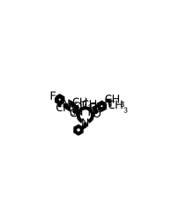 Cc1cc(F)ccc1N1CCN(S(=O)(=O)N2CCCN(CC3CCCCC3)CCCN(S(=O)(=O)c3ccc(N(C)C)cc3)C[C@H](C)C2)[C@@H](C)C1